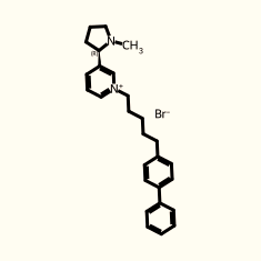 CN1CCC[C@@H]1c1ccc[n+](CCCCCc2ccc(-c3ccccc3)cc2)c1.[Br-]